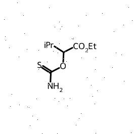 CCOC(=O)C(OC(N)=S)C(C)C